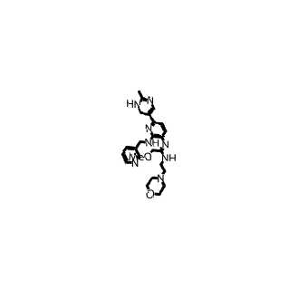 COC/C(=N\c1ccc(C2=CN=C(C)NC2)nc1NCc1cccnc1)NCCN1CCOCC1